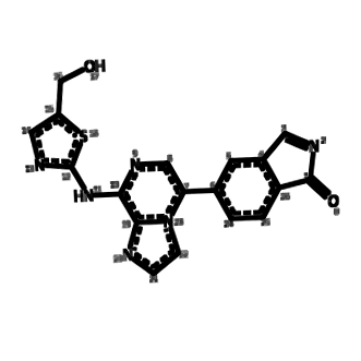 O=C1N=Cc2cc(-c3cnc(Nc4ncc(CO)s4)c4nccn34)ccc21